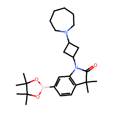 CC1(C)C(=O)N(C2CC(N3CCCCCC3)C2)c2cc(B3OC(C)(C)C(C)(C)O3)ccc21